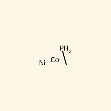 CP.[Co].[Ni]